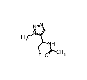 CC(=O)NC(CF)c1cnnn1C